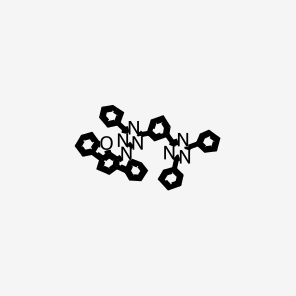 c1ccc(-c2nc(-c3ccccc3)nc(-c3cccc(-c4nc(-c5ccccc5)nc(-n5c6ccccc6c6ccc7c8ccccc8oc7c65)n4)c3)n2)cc1